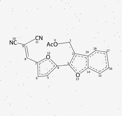 CC(=O)OCc1c(-c2ccc(C=C(C#N)C#N)o2)oc2ccccc12